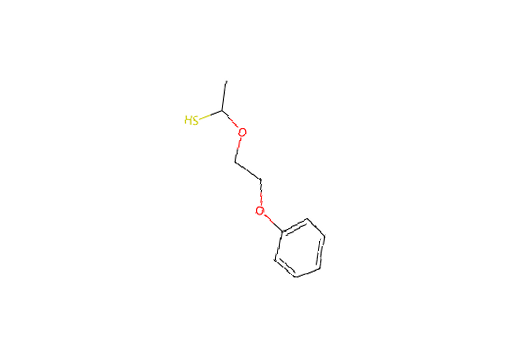 CC(S)OCCOc1ccccc1